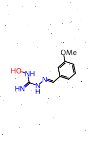 COc1cccc(C=NNC(=N)NO)c1